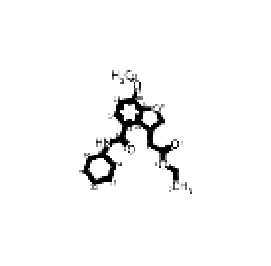 CCOC(=O)CC1COc2c(OC)ccc(C(=O)NC3CCCCC3)c21